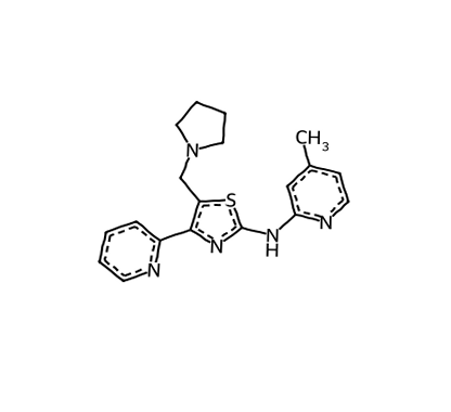 Cc1ccnc(Nc2nc(-c3ccccn3)c(CN3CCCC3)s2)c1